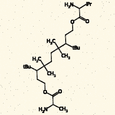 CC(N)C(=O)OCCC(C(C)(C)C)C(C)(C)CCC(C)(C)C(CCOC(=O)C(N)C(C)C)C(C)(C)C